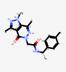 Cc1ccc([C@H](C)NC(=O)Cn2nc(C)c3c(c(C)nn3C(C)C)c2=O)cc1